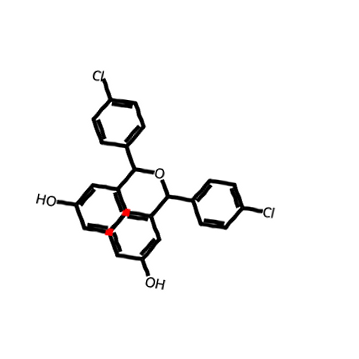 Oc1cccc(C(OC(c2ccc(Cl)cc2)c2cccc(O)c2)c2ccc(Cl)cc2)c1